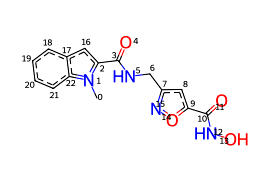 Cn1c(C(=O)NCc2cc(C(=O)NO)on2)cc2ccccc21